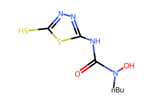 CCCCN(O)C(=O)Nc1nnc(S)s1